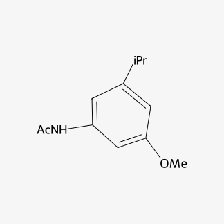 COc1cc(NC(C)=O)cc(C(C)C)c1